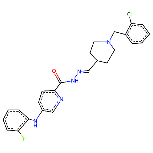 O=C(NN=CC1CCN(Cc2ccccc2Cl)CC1)c1ccc(Nc2ccccc2F)cn1